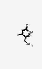 Cc1cc(=O)[nH]nc1CN